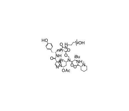 CCCC(=O)OCN(C(=O)[C@H](NC(=O)[C@@H]1CCCCN1C)[C@@H](C)CC)[C@@H](C[C@H](OC(C)=O)n1ncc(C(=O)N[C@H](Cc2ccc(O)cc2)C[C@@H](C)C(=O)NCCC[Si](C)(C)O)n1)C(C)C